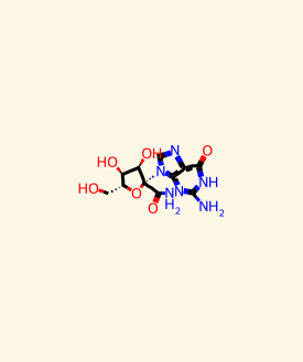 NC(=O)[C@@]1(n2cnc3c(=O)[nH]c(N)nc32)O[C@H](CO)[C@@H](O)[C@H]1O